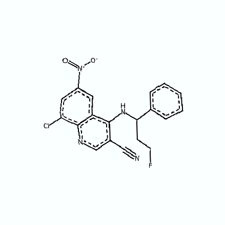 N#Cc1cnc2c(Cl)cc([N+](=O)[O-])cc2c1NC(CCF)c1ccccc1